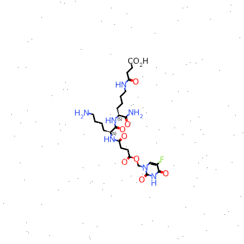 NCCCC[C@H](NC(=O)CCC(=O)OCn1cc(F)c(=O)[nH]c1=O)C(=O)N[C@@H](CCCCNC(=O)CCC(=O)O)C(N)=O